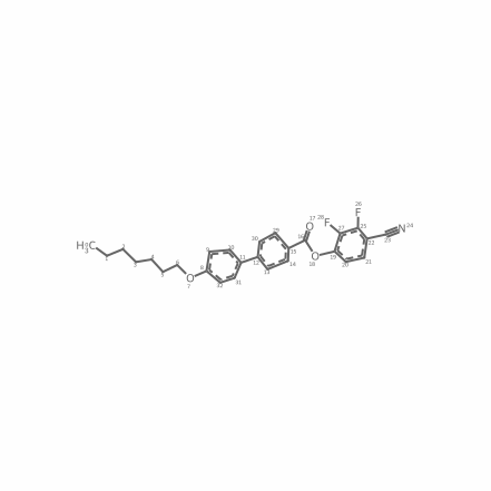 CCCCCCCOc1ccc(-c2ccc(C(=O)Oc3ccc(C#N)c(F)c3F)cc2)cc1